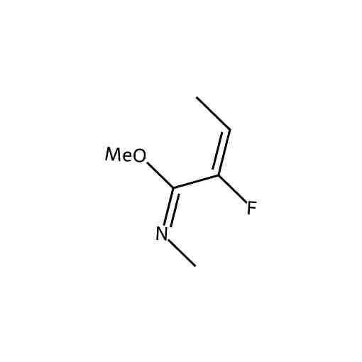 C/C=C(F)\C(=N/C)OC